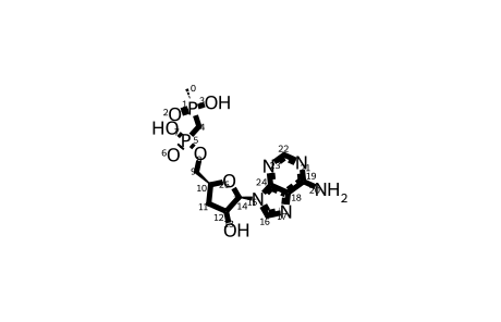 C[P@](=O)(O)CP(=O)(O)OC[C@@H]1CC(O)[C@H](n2cnc3c(N)ncnc32)O1